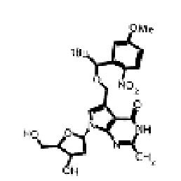 COc1ccc([N+](=O)[O-])c(C(OCc2cn([C@H]3CC(O)[C@@H](CO)O3)c3nc(C)[nH]c(=O)c23)C(C)(C)C)c1